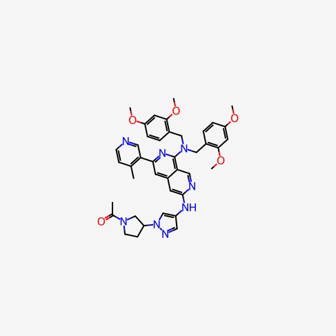 COc1ccc(CN(Cc2ccc(OC)cc2OC)c2nc(-c3cnccc3C)cc3cc(Nc4cnn(C5CCN(C(C)=O)C5)c4)ncc23)c(OC)c1